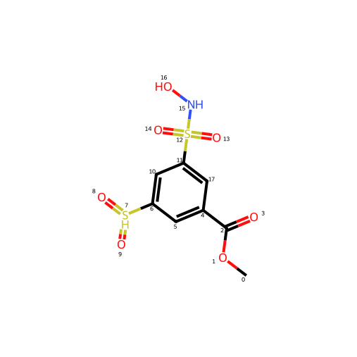 COC(=O)c1cc([SH](=O)=O)cc(S(=O)(=O)NO)c1